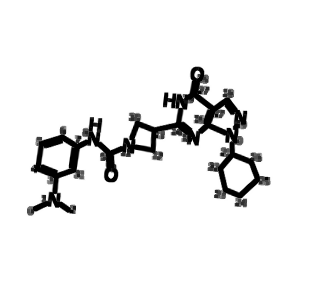 CN(C)c1cccc(NC(=O)N2CC(c3nc4c(cnn4C4CCCCC4)c(=O)[nH]3)C2)c1